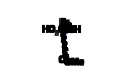 COC(=O)CSCCCCC/C=C(\CP(=O)(O)CC(C)C)C(=O)O